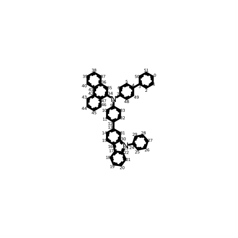 c1ccc(-c2ccc(N(c3ccc(-c4ccc5c6ccccc6n(-c6ccccc6)c5c4)cc3)c3cc4ccccc4c4ccccc34)cc2)cc1